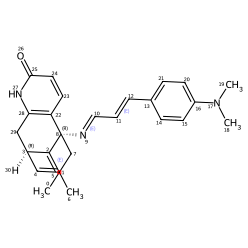 C/C=C1\[C@H]2C=C(C)C[C@]1(/N=C/C=C/c1ccc(N(C)C)cc1)c1ccc(=O)[nH]c1C2